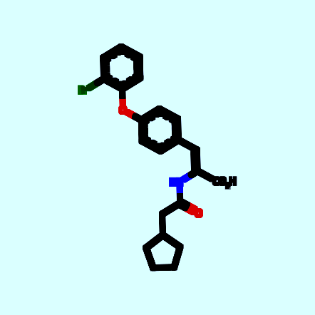 O=C(CC1CCCC1)NC(=Cc1ccc(Oc2ccccc2Br)cc1)C(=O)O